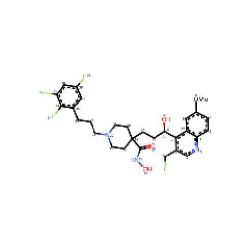 COc1ccc2ncc(CF)c([C@H](O)CCC3(C(=O)NO)CCN(CCCc4cc(F)cc(F)c4F)CC3)c2c1